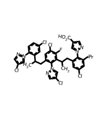 CC(C)c1cc(Cl)cc(CC(C)c2c(F)c(Cl)cc(CC(C)c3cc(Cl)ccc3-n3cc(Cl)cn3)c2-n2cc(Cl)cn2)c1-n1cc(C(=O)O)cn1